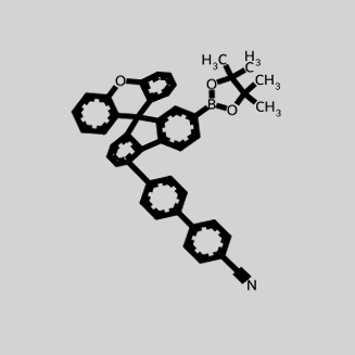 CC1(C)OB(c2ccc3c(c2)C2(c4ccccc4Oc4ccccc42)c2cccc(-c4ccc(-c5ccc(C#N)cc5)cc4)c2-3)OC1(C)C